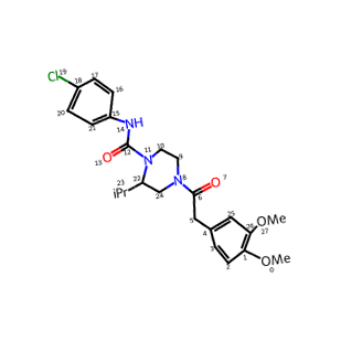 COc1ccc(CC(=O)N2CCN(C(=O)Nc3ccc(Cl)cc3)C(C(C)C)C2)cc1OC